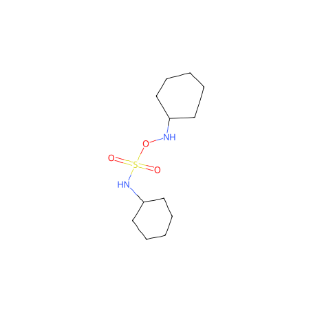 O=S(=O)(NC1CCCCC1)ONC1CCCCC1